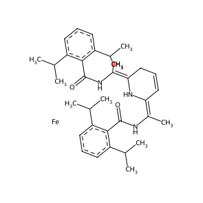 CC(NC(=O)c1c(C(C)C)cccc1C(C)C)=C1C=CCC(=C(C)NC(=O)c2c(C(C)C)cccc2C(C)C)N1.[Fe]